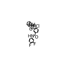 CC1(O)C2CC1CC(S(=O)(=O)c1cc(C(=O)Nc3ccc(F)c(F)c3)ccc1Cl)C2